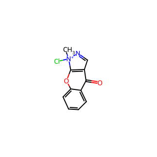 C[N+]1(Cl)N=Cc2c1oc1ccccc1c2=O